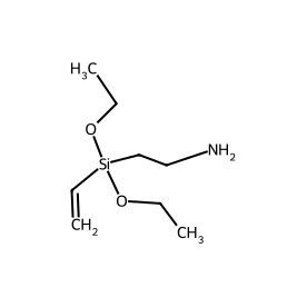 C=C[Si](CCN)(OCC)OCC